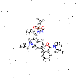 CN(C)C(=O)c1ccccc1-c1ccc2c([C@H](NS(=O)(=O)C3CC3)C(F)(F)F)cn(CC(C)(C)C)c2c1